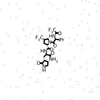 CC(C)C(NC(=O)C(F)(F)F)C(=O)N1C[C@H](C(F)(F)F)C[C@H]1C(=O)NC(C[C@@H]1CCNC1=O)C(N)=O